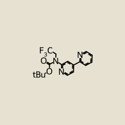 CC(C)(C)OC(=O)N(CC(F)(F)F)c1cc(-c2ccccn2)ccn1